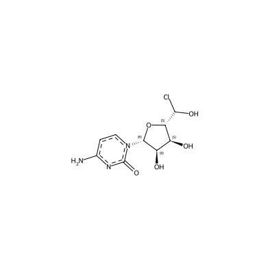 Nc1ccn([C@@H]2O[C@H](C(O)Cl)[C@@H](O)[C@H]2O)c(=O)n1